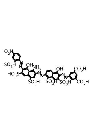 Nc1c(N=Nc2ccc3c(O)c(N=Nc4cc(C(=O)O)cc(C(=O)O)c4)c(S(=O)(=O)O)cc3c2S(=O)(=O)O)cc(S(=O)(=O)O)c2cc(S(=O)(=O)O)c(N=Nc3ccc([N+](=O)[O-])cc3S(=O)(=O)O)c(O)c12